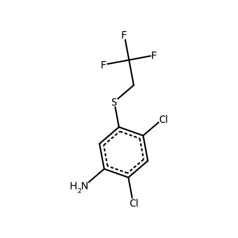 Nc1cc(SCC(F)(F)F)c(Cl)cc1Cl